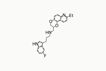 CCc1ccc2c3c(ccc2n1)OCC(CNCCCc1c[nH]c2ccc(F)cc12)O3